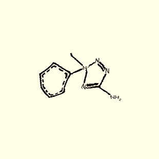 C[N+]1(c2ccccc2)N=NC(N)=N1